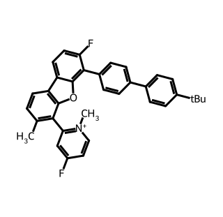 Cc1ccc2c(oc3c(-c4ccc(-c5ccc(C(C)(C)C)cc5)cc4)c(F)ccc32)c1-c1cc(F)cc[n+]1C